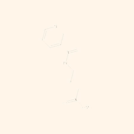 COC(=O)CCCNC(=O)c1cccnc1